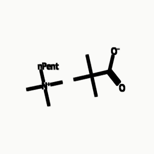 CC(C)(C)C(=O)[O-].CCCCC[N+](C)(C)C